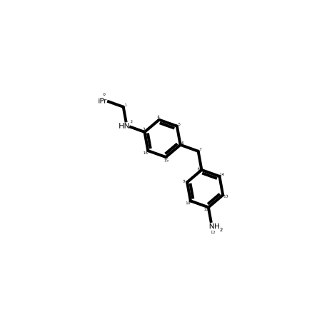 CC(C)CNc1ccc(Cc2ccc(N)cc2)cc1